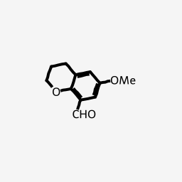 COc1cc(C=O)c2c(c1)CCCO2